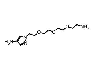 NCCOCCOCCOCCn1cc(N)cn1